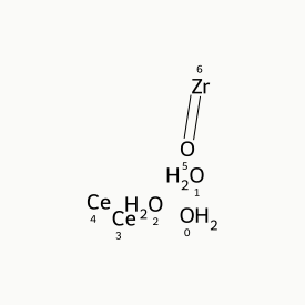 O.O.O.[Ce].[Ce].[O]=[Zr]